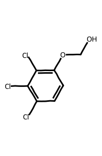 OCOc1ccc(Cl)c(Cl)c1Cl